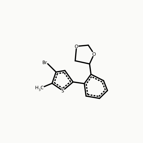 Cc1sc(-c2ccccc2C2COCO2)cc1Br